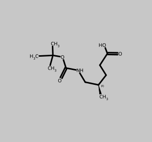 C[C@H](CCC(=O)O)CNC(=O)OC(C)(C)C